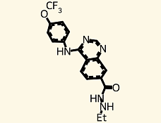 CCNNC(=O)c1ccc2c(Nc3ccc(OC(F)(F)F)cc3)ncnc2c1